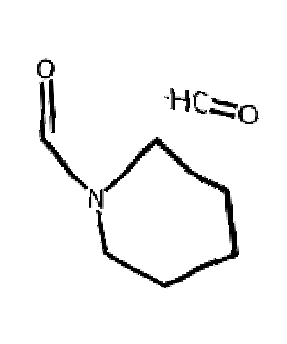 O=CN1CCCCC1.[CH]=O